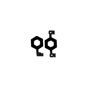 CC(C)(C)c1ccccc1.N#Cc1ccc(C#N)cc1